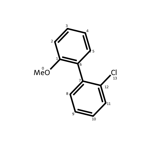 COc1ccc[c]c1-c1ccccc1Cl